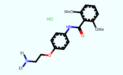 CCN(CC)CCOc1ccc(NC(=O)c2c(OC)cccc2OC)cc1.Cl